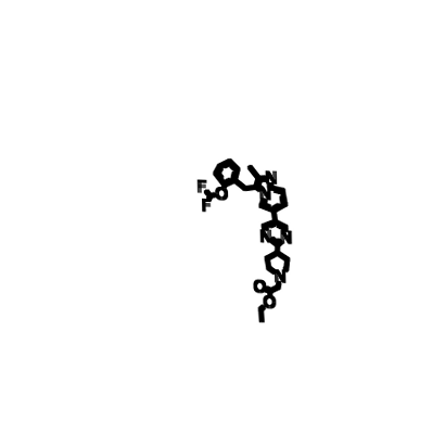 CCOC(=O)CN1CCC(c2ncc(-c3ccc4nc(C)c(Cc5ccccc5OC(F)F)n4c3)cn2)CC1